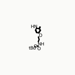 C=C1C=C(OCCCNC(=O)OC(C)(C)C)C=CC1=N